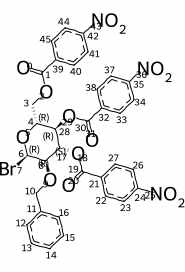 O=C(OC[C@H]1O[C@H](Br)[C@H](OCc2ccccc2)[C@@H](OC(=O)c2ccc([N+](=O)[O-])cc2)[C@@H]1OC(=O)c1ccc([N+](=O)[O-])cc1)c1ccc([N+](=O)[O-])cc1